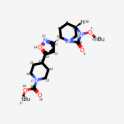 CCCCON1C(=O)N2C[C@@H]1CC[C@H]2c1cc(C2CCN(C(=O)OC(C)(C)C)CC2)on1